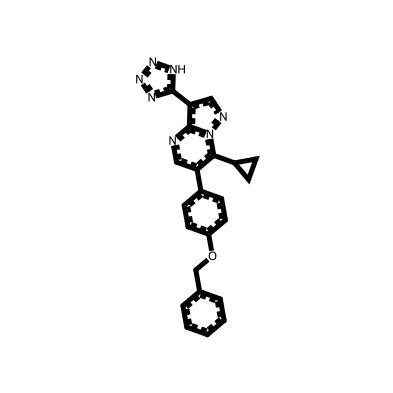 c1ccc(COc2ccc(-c3cnc4c(-c5nnn[nH]5)cnn4c3C3CC3)cc2)cc1